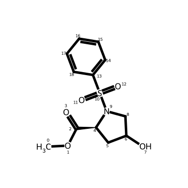 COC(=O)[C@@H]1CC(O)CN1S(=O)(=O)c1ccccc1